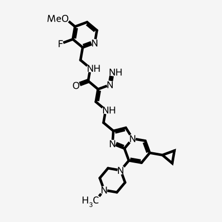 COc1ccnc(CNC(=O)/C(=C/NCc2cn3cc(C4CC4)cc(N4CCN(C)CC4)c3n2)N=N)c1F